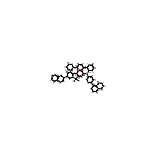 CC1(C)c2cc(-c3ccc4ccccc4c3)ccc2-c2ccc(N(c3ccc(-c4cccc5ccccc45)cc3)c3ccccc3-c3ccc(-c4ccccc4)cc3)cc21